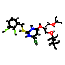 CC(C)OC[C@H](CO[Si](C)(C)C(C)(C)C)Oc1cc(Cl)nc(SCc2cccc(F)c2F)n1